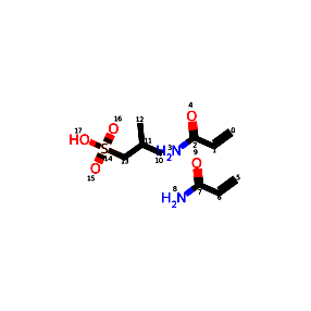 C=CC(N)=O.C=CC(N)=O.CC(C)CS(=O)(=O)O